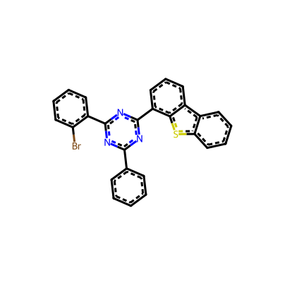 Brc1ccccc1-c1nc(-c2ccccc2)nc(-c2cccc3c2sc2ccccc23)n1